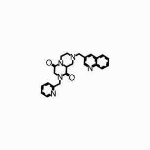 O=C1C2CN(Cc3cnc4ccccc4c3)CCN2C(=O)CN1Cc1ccccn1